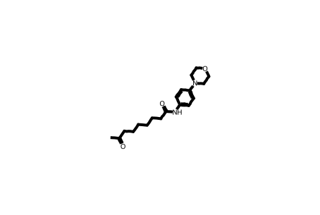 CC(=O)CCCCCCC(=O)Nc1ccc(N2CCOCC2)cc1